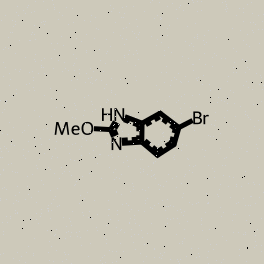 COc1nc2ccc(Br)cc2[nH]1